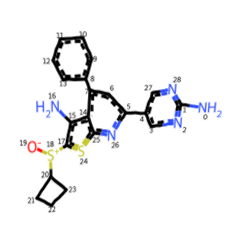 Nc1ncc(-c2cc(-c3ccccc3)c3c(N)c([S+]([O-])C4CCC4)sc3n2)cn1